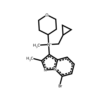 Cc1nn2c(Br)cccc2c1[N+](C)(CC1CC1)C1CCOCC1